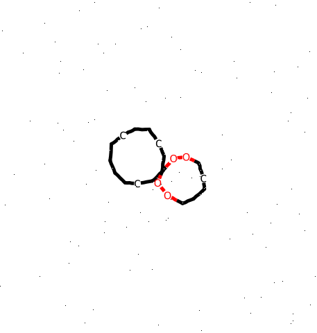 C1CCCCCC2(CCCCC1)OOCCCCCOO2